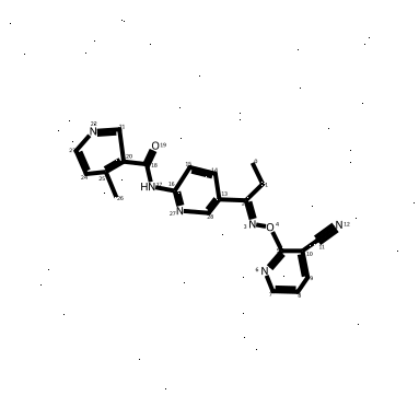 CC/C(=N\Oc1ncccc1C#N)c1ccc(NC(=O)c2cnccc2C)nc1